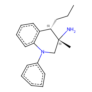 CCC[C@H]1c2ccccc2N(c2ccccc2)C[C@@]1(C)N